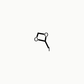 IC1OCO1